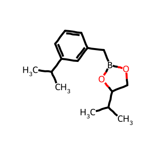 CC(C)c1cccc(CB2OCC(C(C)C)O2)c1